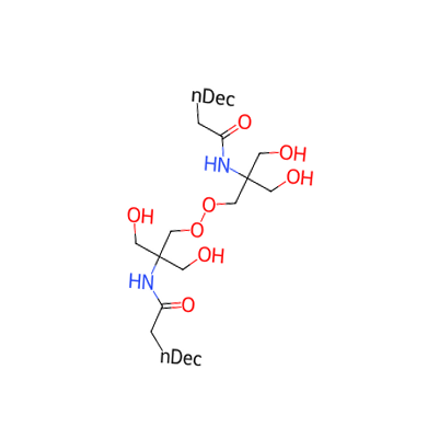 CCCCCCCCCCCC(=O)NC(CO)(CO)COOCC(CO)(CO)NC(=O)CCCCCCCCCCC